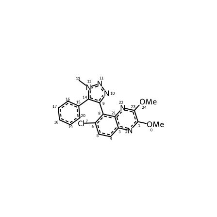 COc1nc2ccc(Cl)c(-c3nnn(C)c3-c3ccccc3)c2nc1OC